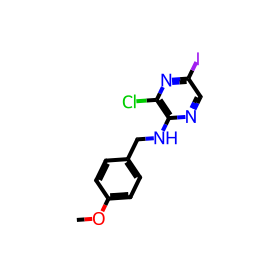 COc1ccc(CNc2ncc(I)nc2Cl)cc1